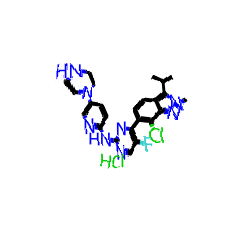 CC(C)c1c2ccc(-c3nc(Nc4ccc(N5CCNCC5)cn4)ncc3F)c(Cl)c2nn1C.Cl